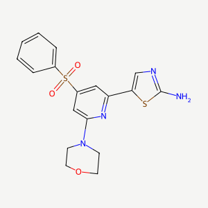 Nc1ncc(-c2cc(S(=O)(=O)c3ccccc3)cc(N3CCOCC3)n2)s1